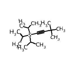 CC(C)S(C#CC(C)(C)C)(C(C)C)C(C)C